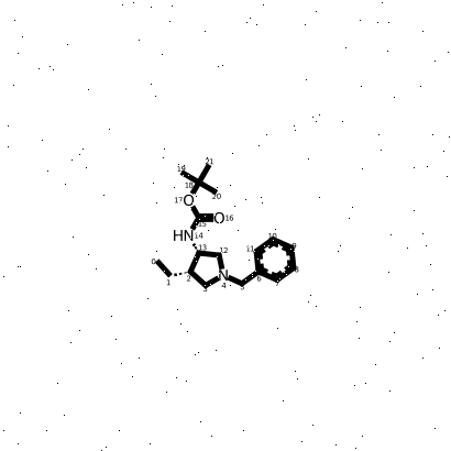 CC[C@H]1CN(Cc2ccccc2)C[C@H]1NC(=O)OC(C)(C)C